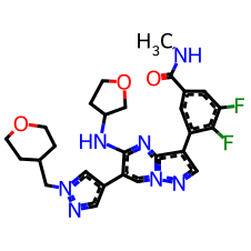 CNC(=O)c1cc(F)c(F)c(-c2cnn3cc(-c4cnn(CC5CCOCC5)c4)c(NC4CCOC4)nc23)c1